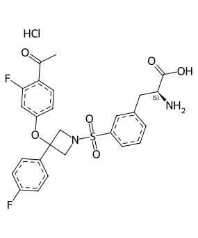 CC(=O)c1ccc(OC2(c3ccc(F)cc3)CN(S(=O)(=O)c3cccc(C[C@H](N)C(=O)O)c3)C2)cc1F.Cl